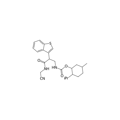 CC1CCC(C(C)C)C(OC(=O)NCC(C(=O)NCC#N)c2csc3ccccc23)C1